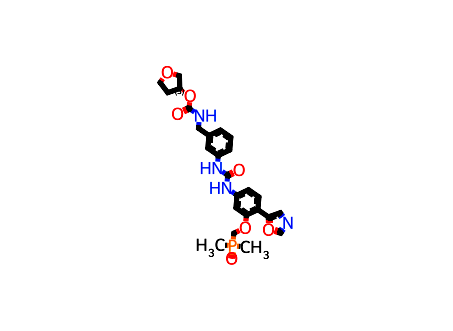 CP(C)(=O)COc1cc(NC(=O)Nc2cccc(CNC(=O)O[C@H]3CCOC3)c2)ccc1-c1cnco1